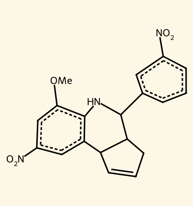 COc1cc([N+](=O)[O-])cc2c1NC(c1cccc([N+](=O)[O-])c1)C1CC=CC21